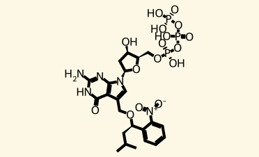 CC(C)C[C@@H](OCc1cn([C@H]2C[C@@H](O)[C@@H](COP(=O)(O)OP(=O)(O)OP(=O)(O)O)O2)c2nc(N)[nH]c(=O)c12)c1ccccc1[N+](=O)[O-]